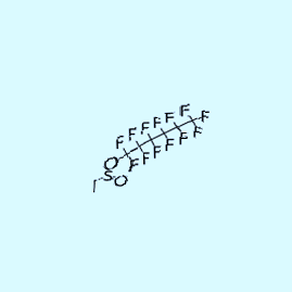 CCS(=O)OC(F)(F)C(F)(F)C(F)(F)C(F)(F)C(F)(F)C(F)(F)F